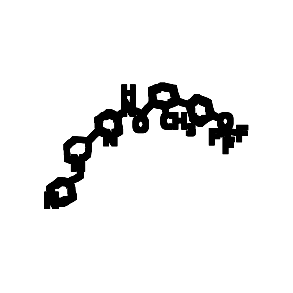 Cc1c(C(=O)Nc2ccc(C3CCCN(Cc4ccncc4)C3)nc2)cccc1-c1ccc(OC(F)(F)F)cc1